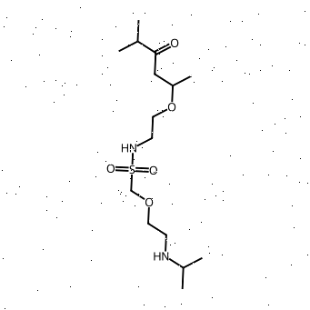 CC(C)NCCOCS(=O)(=O)NCCOC(C)CC(=O)C(C)C